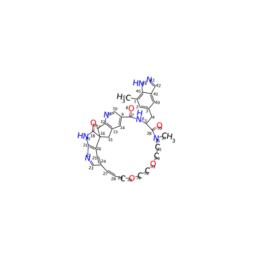 Cc1cc(CC2NC(=O)c3cnc4c(c3)CC3(C4)C(=O)Nc4ncc(cc43)C=CCOCCOCCN(C)C2=O)cc2cn[nH]c12